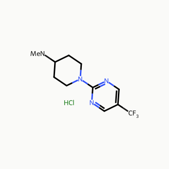 CNC1CCN(c2ncc(C(F)(F)F)cn2)CC1.Cl